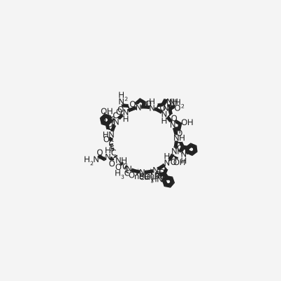 CCCC[C@H]1C(=O)N(C)[C@@H](CCCC)C(=O)N(C)CC(=O)N[C@H](C(=O)NCC(N)=O)CSCC(=O)N[C@@H](Cc2ccc(O)cc2)C(=O)N(C)[C@@H](C)C(=O)N[C@@H](CC(N)=O)C(=O)N2CCC[C@H]2C(=O)N[C@@H](Cc2c[nH]cn2)C(=O)N[C@@H](CCC(N)=O)C(=O)N2C[C@H](O)C[C@H]2C(=O)N[C@@H](Cc2c[nH]c3ccccc23)C(=O)N[C@@H](CO)C(=O)N[C@@H](Cc2c[nH]c3ccccc23)C(=O)N1C